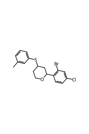 Cc1cccc(SC2CCOC(c3ccc(Cl)cc3Br)C2)c1